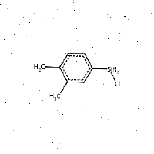 Cc1ccc([SiH2]Cl)cc1C